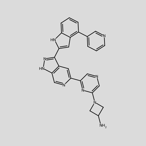 NC1CN(c2cncc(-c3cc4c(-c5cc6c(-c7cccnc7)cccc6[nH]5)n[nH]c4cn3)n2)C1